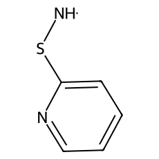 [NH]Sc1ccccn1